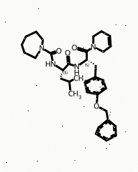 CC(C)C[C@H](NC(=O)N1CCCCCC1)C(=O)N[C@@H](Cc1ccc(OCc2ccccc2)cc1)C(=O)N1CC=CCC1